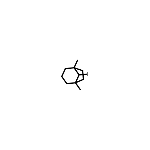 CC12CCCC(C)(CC1)C2I